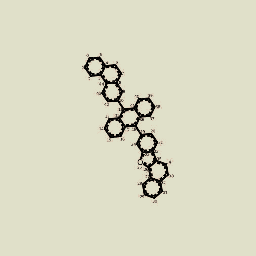 c1ccc2c(c1)ccc1cc(-c3c4ccccc4c(-c4ccc5c(c4)oc4c6ccccc6ccc54)c4ccccc34)ccc12